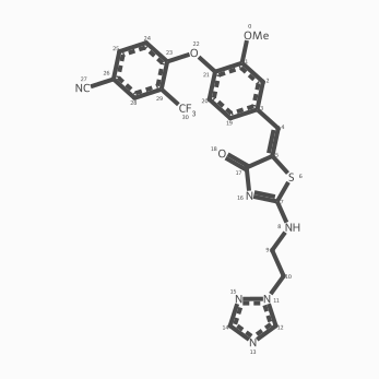 COc1cc(C=C2SC(NCCn3cncn3)=NC2=O)ccc1Oc1ccc(C#N)cc1C(F)(F)F